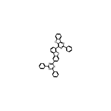 c1ccc(-c2nc(-c3ccccc3)nc(-c3ccc4sc5c(-c6nc(-c7ccccc7)nc7c6oc6ccccc67)cccc5c4c3)n2)cc1